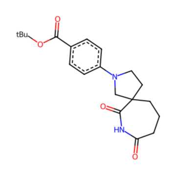 CC(C)(C)OC(=O)c1ccc(N2CCC3(CCCC(=O)NC3=O)C2)cc1